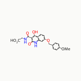 COc1ccc(COc2ccc3c(O)c(C(=O)NCC(=O)O)c(=O)[nH]c3c2)cc1